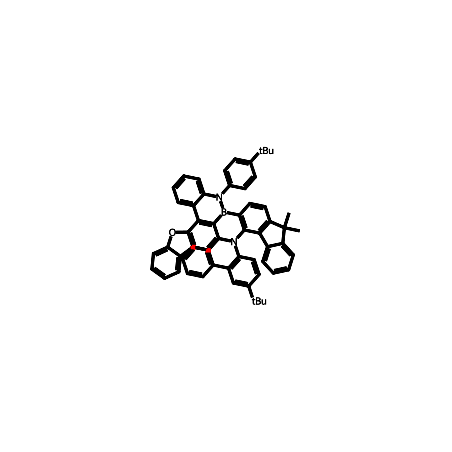 CC(C)(C)c1ccc(N2B3c4ccc5c(c4N(c4ccc(C(C)(C)C)cc4-c4ccccc4)c4cc6c(oc7ccccc76)c(c43)-c3ccccc32)-c2ccccc2C5(C)C)cc1